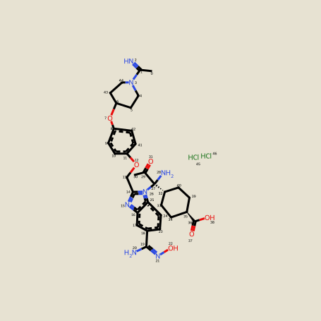 CC(=N)N1CCC(Oc2ccc(OCc3nc4cc(/C(N)=N\O)ccc4n3C(N)(C(C)=O)[C@H]3CC[C@H](C(=O)O)CC3)cc2)CC1.Cl.Cl